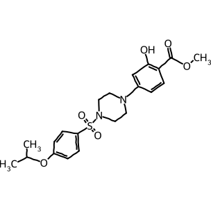 COC(=O)c1ccc(N2CCN(S(=O)(=O)c3ccc(OC(C)C)cc3)CC2)cc1O